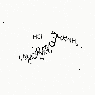 CC(Cc1ccc(-n2ccc(NC(=O)N3CCN(C(=O)C(C)(C)N)CC3)nc2=O)cc1)N(CC1CC1)C1CC2(CC(N)C2)C1.Cl